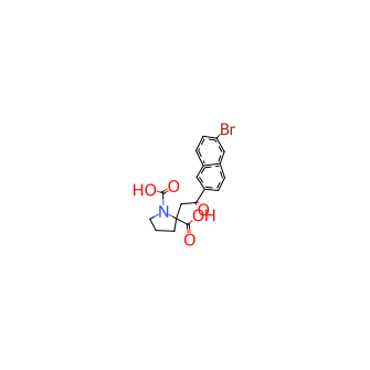 O=C(CC1(C(=O)O)CCCN1C(=O)O)c1ccc2cc(Br)ccc2c1